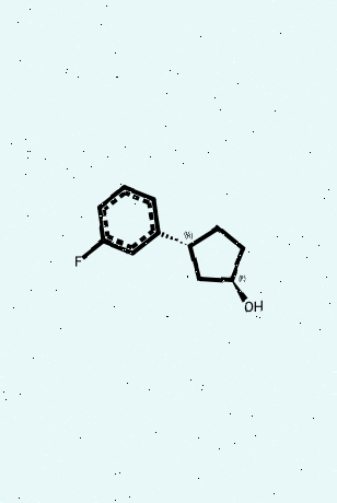 O[C@@H]1CC[C@@H](c2cccc(F)c2)C1